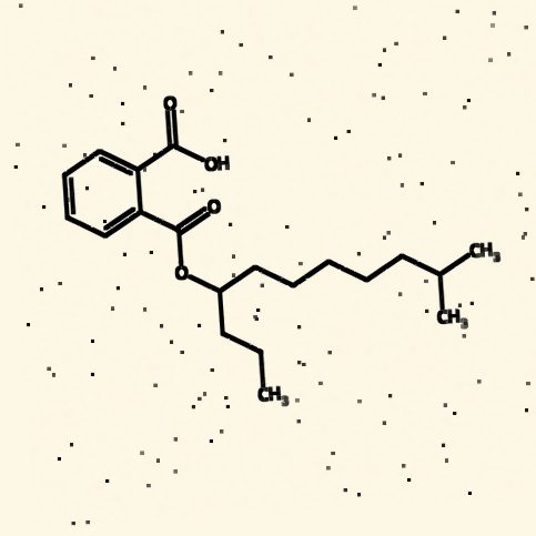 CCCC(CCCCCC(C)C)OC(=O)c1ccccc1C(=O)O